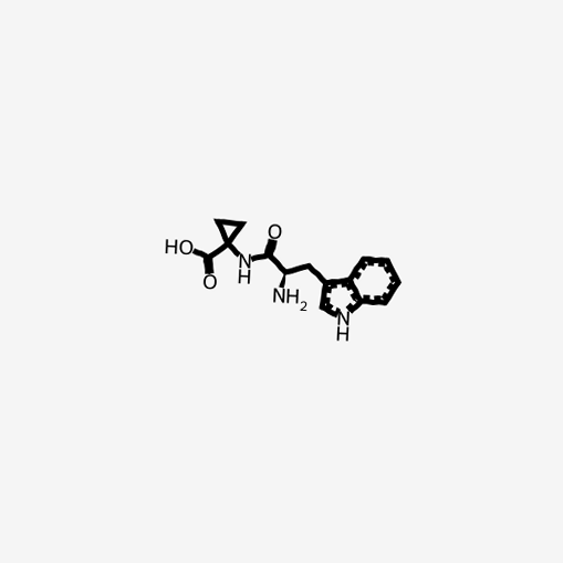 N[C@H](Cc1c[nH]c2ccccc12)C(=O)NC1(C(=O)O)CC1